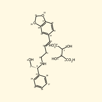 O=C(O)C(O)C(O)C(=O)O.OC[C@H](NCCC=Cc1ccc2c(c1)OCO2)c1ccccc1